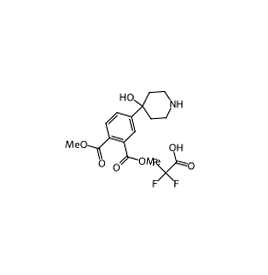 COC(=O)c1ccc(C2(O)CCNCC2)cc1C(=O)OC.O=C(O)C(F)(F)F